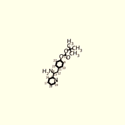 CC(C)(C)OC(=O)Oc1ccc(CC(N)c2ccccn2)cc1